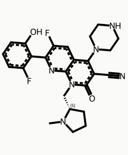 CN1CCC[C@H]1Cn1c(=O)c(C#N)c(N2CCNCC2)c2cc(F)c(-c3c(O)cccc3F)nc21